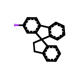 Ic1ccc2c(c1)C1(CCc3ccccc31)c1ccccc1-2